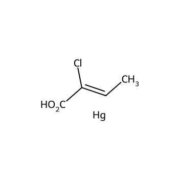 CC=C(Cl)C(=O)O.[Hg]